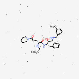 CCOC(=O)CN[C@H](CCC(=O)N1CCCCC1)C(=O)N[C@@H](Cc1ccccc1)[C@@H](O)CNCc1cccc(OC)c1